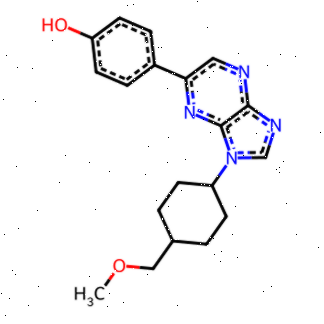 COCC1CCC(n2cnc3ncc(-c4ccc(O)cc4)nc32)CC1